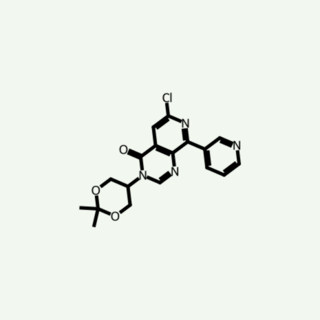 CC1(C)OCC(n2cnc3c(-c4cccnc4)nc(Cl)cc3c2=O)CO1